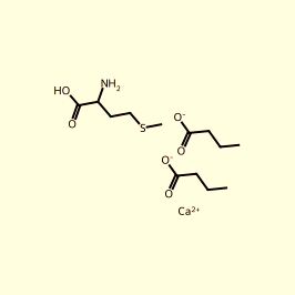 CCCC(=O)[O-].CCCC(=O)[O-].CSCCC(N)C(=O)O.[Ca+2]